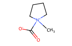 C[N+]1(C(=O)[O-])CCCC1